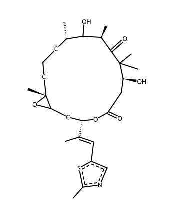 C/C(=C\c1cnc(C)s1)[C@@H]1CC2O[C@]2(C)CCC[C@H](C)C(O)[C@@H](C)C(=O)C(C)(C)[C@@H](O)CC(=O)O1